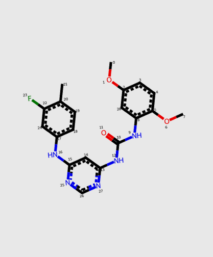 COc1ccc(OC)c(NC(=O)Nc2cc(Nc3ccc(C)c(F)c3)ncn2)c1